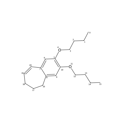 CCCCOc1cc2c(cc1OCCCC)CCC[C]=C2